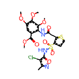 COC(=O)c1cc(OC)c(OC)c(OC)c1NC(=O)c1sccc1S(=O)(=O)Nc1onc(C)c1Cl